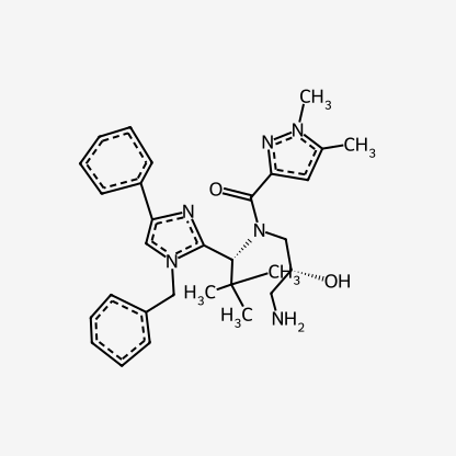 Cc1cc(C(=O)N(C[C@H](O)CN)[C@@H](c2nc(-c3ccccc3)cn2Cc2ccccc2)C(C)(C)C)nn1C